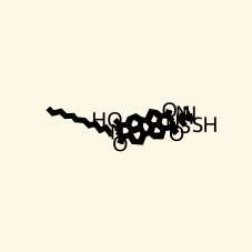 CCCCCCCCCCCCN1C(=O)c2ccc3c4ccc5c6c(ccc(c7ccc(c2c37)C1O)c64)C(=O)N(c1nnc(S)s1)C5=O